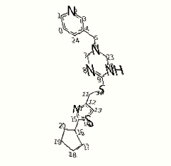 c1cncc(CN2CN=C(SCc3csc(C4CCCC4)n3)NC2)c1